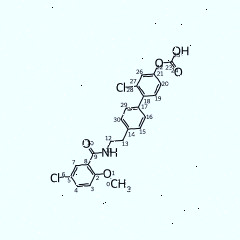 COc1ccc(Cl)cc1C(=O)NCCc1ccc(-c2ccc(OC(=O)O)cc2Cl)cc1